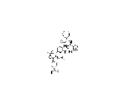 CCn1nccc1C(=O)N[C@H](C(=O)Nc1ccc([C@H](C)[C@@H](N)C(=O)N2CCC(=C(F)F)CC2)cc1F)C1CCCCCC1